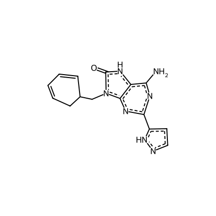 Nc1nc(-c2ccn[nH]2)nc2c1[nH]c(=O)n2CC1C=CC=CC1